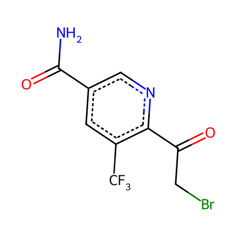 NC(=O)c1cnc(C(=O)CBr)c(C(F)(F)F)c1